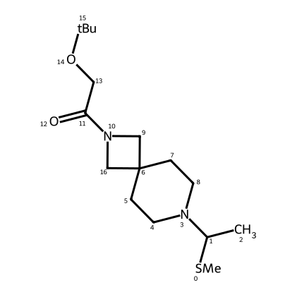 CSC(C)N1CCC2(CC1)CN(C(=O)COC(C)(C)C)C2